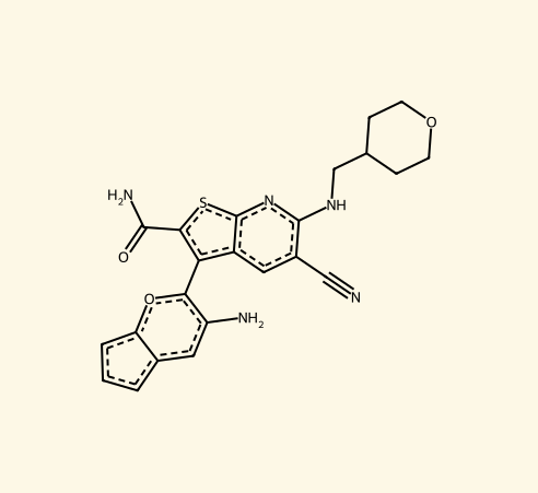 N#Cc1cc2c(-c3oc4cccc-4cc3N)c(C(N)=O)sc2nc1NCC1CCOCC1